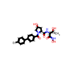 CCc1ccc(-c2ccc(C(=O)N3CC(O)C[C@H]3C(=O)N[C@H](C(=O)NO)[C@@H](C)O)cc2)cc1